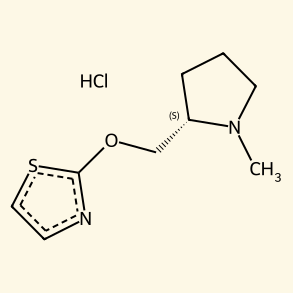 CN1CCC[C@H]1COc1nccs1.Cl